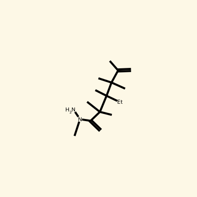 C=C(C)C(C)(C)C(C)(CC)C(C)(C)C(=C)N(C)N